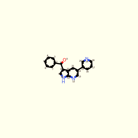 O=C(c1c[c]ccc1)c1c[nH]c2ncc(-c3cccnc3)cc12